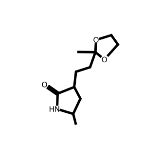 CC1CC(CCC2(C)OCCO2)C(=O)N1